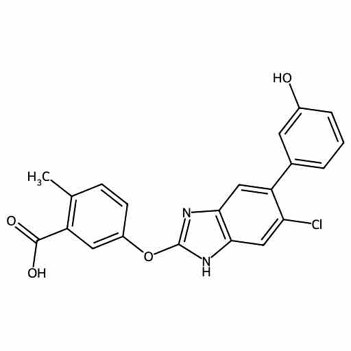 Cc1ccc(Oc2nc3cc(-c4cccc(O)c4)c(Cl)cc3[nH]2)cc1C(=O)O